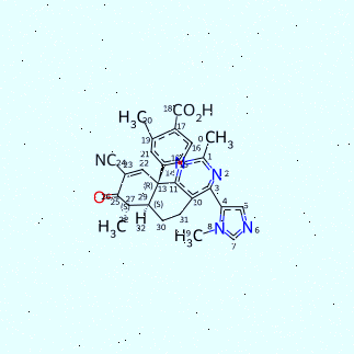 Cc1nc(-c2cncn2C)c2c(n1)[C@@]1(c3ccc(C(=O)O)c(C)c3)C=C(C#N)C(=O)[C@@H](C)[C@@H]1CC2